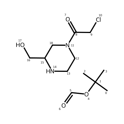 CC(C)(C)OC=O.O=C(CCl)N1CCNC(CO)C1